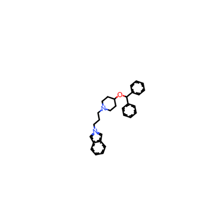 c1ccc(C(OC2CCN(CCCn3cc4ccccc4c3)CC2)c2ccccc2)cc1